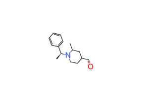 CC1CC(C=O)CCN1[C@@H](C)c1ccccc1